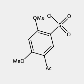 COc1cc(OC)c(S(=O)(=O)Cl)cc1C(C)=O